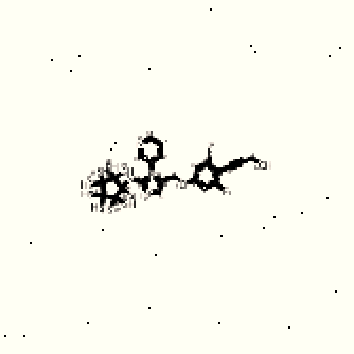 OCC#Cc1c(F)cc(OCc2cnc(SC3(S)C(S)(S)C(S)(S)C(S)(S)C3(S)S)n2-c2cccnc2)cc1F